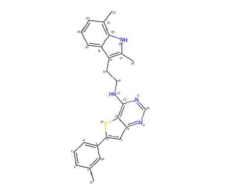 Cc1cccc(-c2cc3ncnc(NCCc4c(C)[nH]c5c(C)cccc45)c3s2)c1